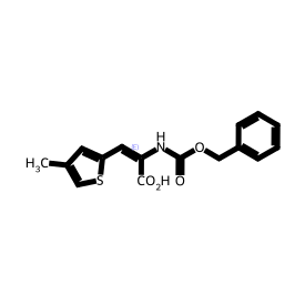 Cc1csc(/C=C(/NC(=O)OCc2ccccc2)C(=O)O)c1